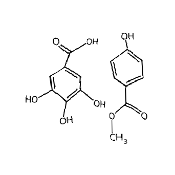 COC(=O)c1ccc(O)cc1.O=C(O)c1cc(O)c(O)c(O)c1